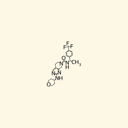 C[C@@H](NC(=O)N1CCc2cnc(NC3CCOCC3)nc2C1)c1ccc(C(F)(F)F)cc1